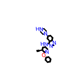 C#Cc1cc(Nc2ncnc3ccc(N4CCNCC4)cc23)cnc1Oc1ccccc1